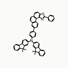 CC1(C)c2ccccc2-c2ccc(N(c3ccc(-c4ccc5c(ccc6ccc7sc(-c8ccccc8)nc7c65)c4)cc3)c3ccc4c(c3)C(C)(C)c3ccccc3-4)cc21